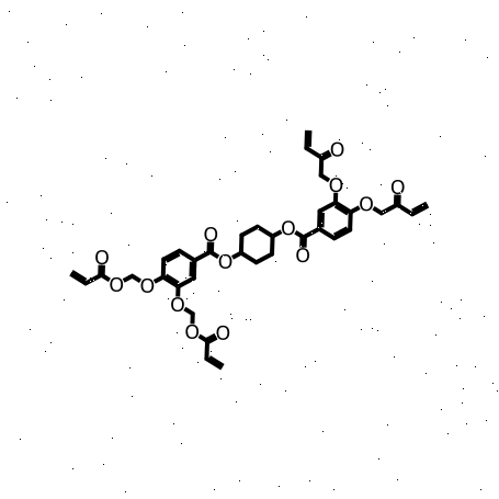 C=CC(=O)COc1ccc(C(=O)OC2CCC(OC(=O)c3ccc(OCOC(=O)C=C)c(OCOC(=O)C=C)c3)CC2)cc1OCC(=O)C=C